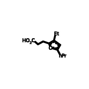 CCCc1cc(CC)c(CCC(=O)O)o1